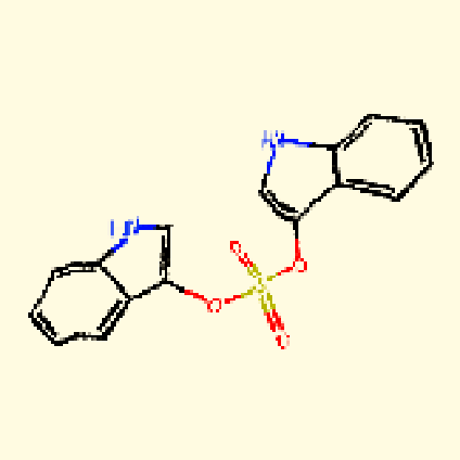 O=S(=O)(Oc1c[nH]c2ccccc12)Oc1c[nH]c2ccccc12